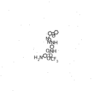 Nc1ccc(C(OC(=O)C(F)(F)F)C(=O)Nc2ccc(Nc3cc(-c4cccc5c4oc4ccccc45)ncn3)cc2)cc1